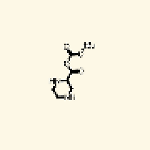 CC(C)(C)OC(=O)OC(=O)C1CNCCN1